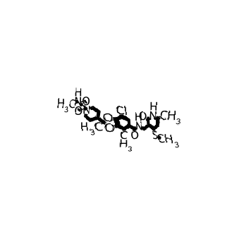 CNS(=O)(=O)N1CCC(C2(C)Oc3c(Cl)cc(C(=O)NCc4c(SC)cc(C)[nH]c4=O)c(C)c3O2)CC1